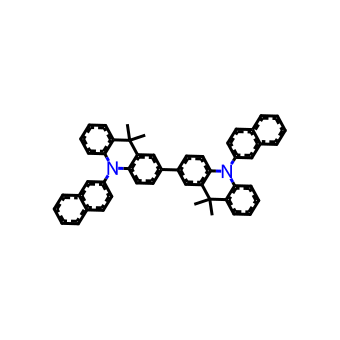 CC1(C)c2ccccc2N(c2ccc3ccccc3c2)c2ccc(-c3ccc4c(c3)C(C)(C)c3ccccc3N4c3ccc4ccccc4c3)cc21